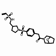 C=CS(=O)(=O)NCC1CCN(S(=O)(=O)c2ccc(CC(=O)N3CC4CCC(C3)O4)cc2)C1